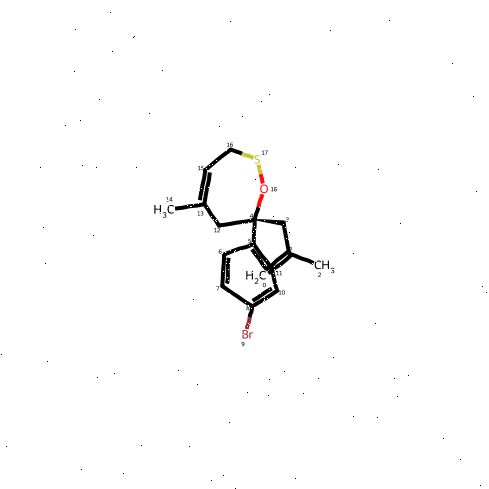 C=C(C)C[C@@]1(c2ccc(Br)cc2)CC(C)=CCSO1